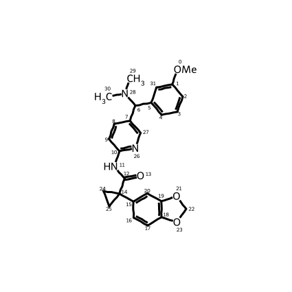 COc1cccc(C(c2ccc(NC(=O)C3(c4ccc5c(c4)OCO5)CC3)nc2)N(C)C)c1